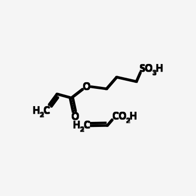 C=CC(=O)O.C=CC(=O)OCCCS(=O)(=O)O